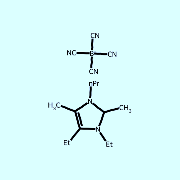 CCCN1C(C)=C(CC)N(CC)C1C.N#C[B-](C#N)(C#N)C#N